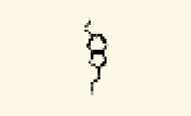 COc1ccc2cc(CCI)sc2c1